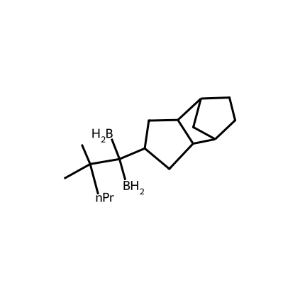 BC(B)(C1CC2C3CCC(C3)C2C1)C(C)(C)CCC